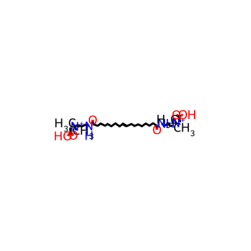 C[N+](C)(CCCNC(=O)CCCCCCC/C=C/CCCCCCCC(=O)NCCC[N+](C)(C)CC(=O)O)CC(=O)O